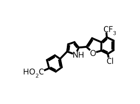 O=C(O)c1ccc(-c2ccc(-c3cc4c(C(F)(F)F)ccc(Cl)c4o3)[nH]2)cc1